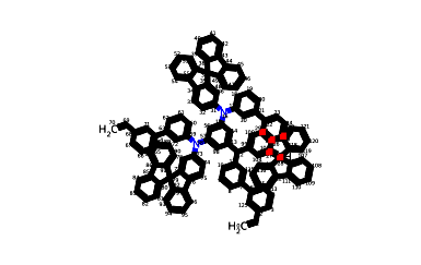 C=Cc1cccc(-c2cccc(C(c3cc(N(c4cccc(-c5cccc(C=C)c5)c4)c4ccc5c(c4)C4(c6ccccc6-c6ccccc64)c4ccccc4-5)cc(N(c4cccc(-c5cccc(C=C)c5)c4)c4ccc5c(c4)C4(c6ccccc6-c6ccccc64)c4ccccc4-5)c3)c3ccc4c(c3)C3(c5ccccc5-c5ccccc53)c3ccccc3-4)c2)c1